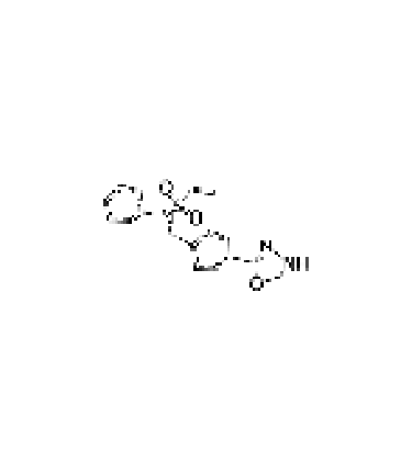 C=CS(=O)(=O)N(Cc1ccc(C2=NNCO2)cc1)c1ccccc1